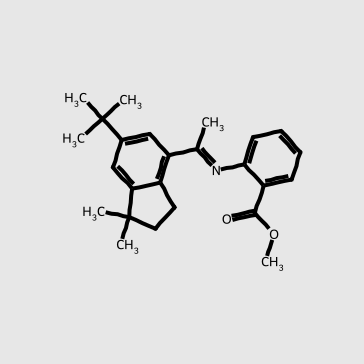 COC(=O)c1ccccc1N=C(C)c1cc(C(C)(C)C)cc2c1CCC2(C)C